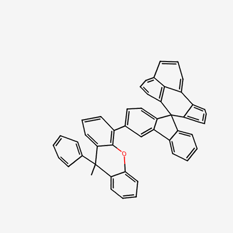 CC1(c2ccccc2)c2ccccc2Oc2c(-c3ccc4c(c3)-c3ccccc3C43c4ccccc4-c4cccc5cccc3c45)cccc21